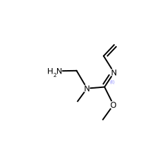 C=C/N=C(/OC)N(C)CN